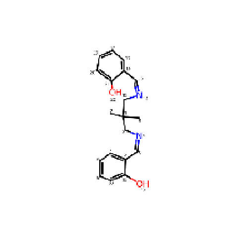 CC(C)(C/N=C\c1ccccc1O)C/N=C\c1ccccc1O